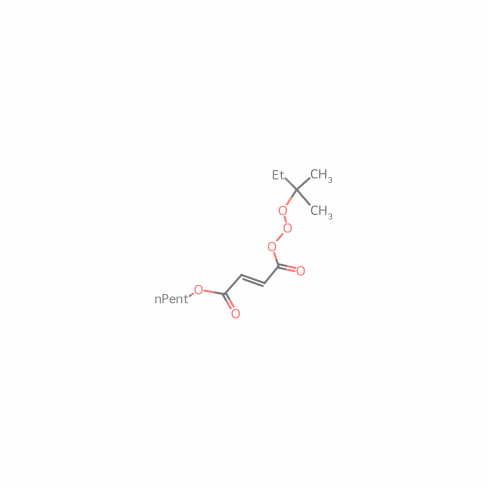 CCCCCOC(=O)/C=C/C(=O)OOOC(C)(C)CC